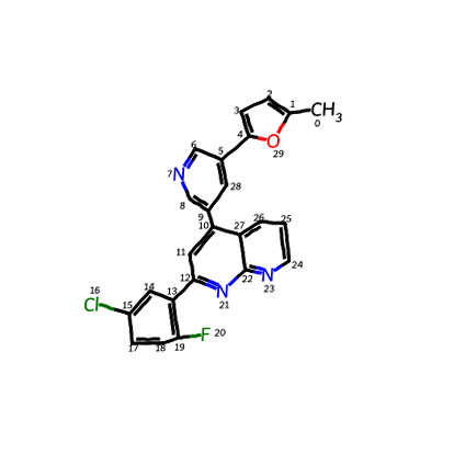 Cc1ccc(-c2cncc(-c3cc(-c4cc(Cl)ccc4F)nc4ncccc34)c2)o1